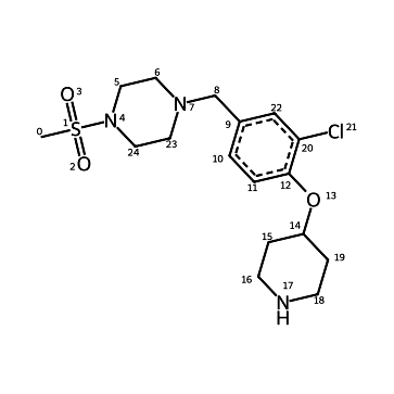 CS(=O)(=O)N1CCN(Cc2ccc(OC3CCNCC3)c(Cl)c2)CC1